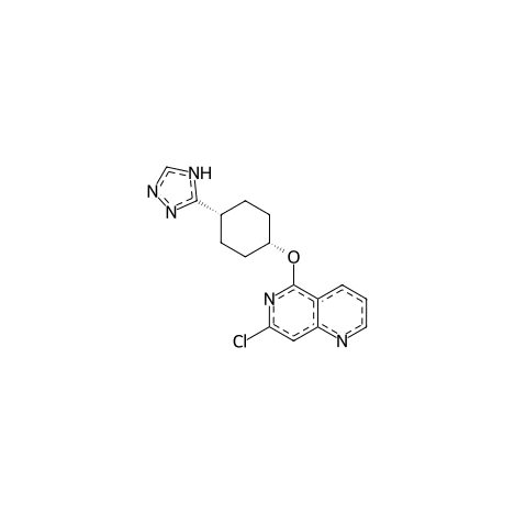 Clc1cc2ncccc2c(O[C@H]2CC[C@@H](c3nnc[nH]3)CC2)n1